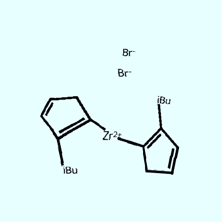 CCC(C)C1=[C]([Zr+2][C]2=C(C(C)CC)C=CC2)CC=C1.[Br-].[Br-]